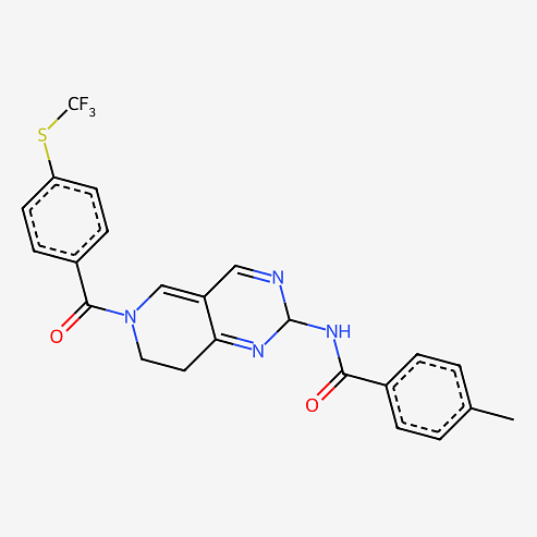 Cc1ccc(C(=O)NC2N=CC3=CN(C(=O)c4ccc(SC(F)(F)F)cc4)CCC3=N2)cc1